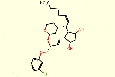 O=C(O)CCC/C=C\C[C@@H]1[C@@H](/C=C/[C@H](COc2cccc(Cl)c2)OC2CCCCO2)[C@H](O)C[C@@H]1O